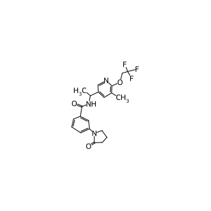 Cc1cc(C(C)NC(=O)c2cccc(N3CCCC3=O)c2)cnc1OCC(F)(F)F